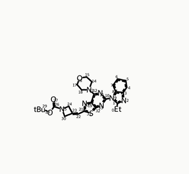 CCc1nc2ccccc2n1-c1nc(N2CCOCC2)c2nc(C=C3CN(C(=O)OC(C)(C)C)C3)sc2n1